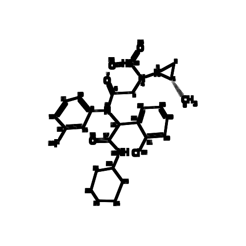 C[C@H]1CN1N(CC(=O)N(c1cccc(F)c1)C(C(=O)NC1CCCCC1)c1ccccc1Cl)[SH](=O)=O